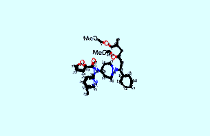 COCOCC(C)CC(CC(C1CCCCC1)N1CCC(N(C(=O)c2ccco2)c2ccc(C)cn2)CC1)OCOC